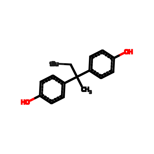 CC(C)(C)CC(C)(c1ccc(O)cc1)c1ccc(O)cc1